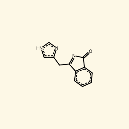 O=C1N=C(Cc2c[nH]cn2)c2ccccc21